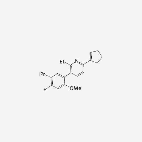 CCc1nc(C2=CCCC2)ccc1-c1cc(C(C)C)c(F)cc1OC